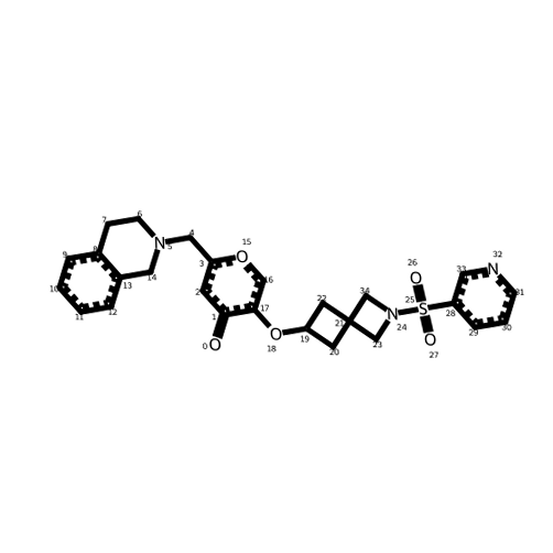 O=c1cc(CN2CCc3ccccc3C2)occ1OC1CC2(C1)CN(S(=O)(=O)c1cccnc1)C2